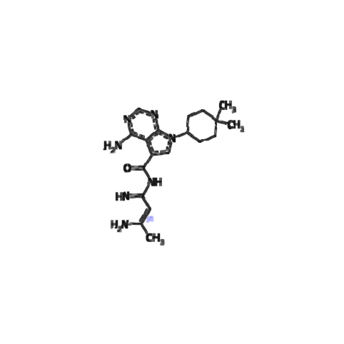 C/C(N)=C/C(=N)NC(=O)c1cn(C2CCC(C)(C)CC2)c2ncnc(N)c12